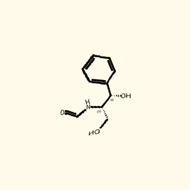 O=CN[C@@H](CO)[C@@H](O)c1ccccc1